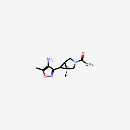 COC(=O)N1CC2C(c3noc(C)c3N)[C@@H]2C1